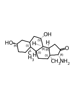 C[C@]12CC[C@H]3[C@H]([C@H]1CC(=O)[C@@H]2N)[C@@H](O)CC1C[C@H](O)CC[C@@]13C